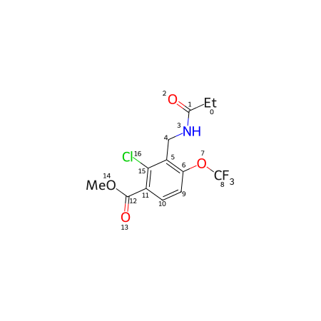 CCC(=O)NCc1c(OC(F)(F)F)ccc(C(=O)OC)c1Cl